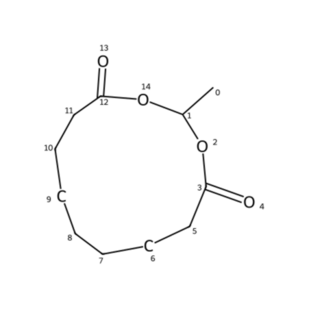 CC1OC(=O)CCCCCCCC(=O)O1